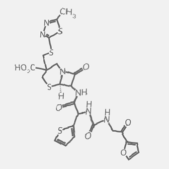 Cc1nnc(SCC2(C(=O)O)CS[C@@H]3C(NC(=O)C(NC(=O)NCC(=O)c4ccco4)c4cccs4)C(=O)N3C2)s1